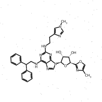 Cc1coc([C@H]2O[C@@H](n3cnc4c(NCC(c5ccccc5)c5ccccc5)nc(NCCc5cn(C)cn5)nc43)[C@H](O)[C@@H]2O)n1